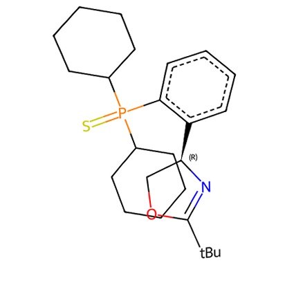 CC(C)(C)C1=N[C@H](c2ccccc2P(=S)(C2CCCCC2)C2CCCCC2)CO1